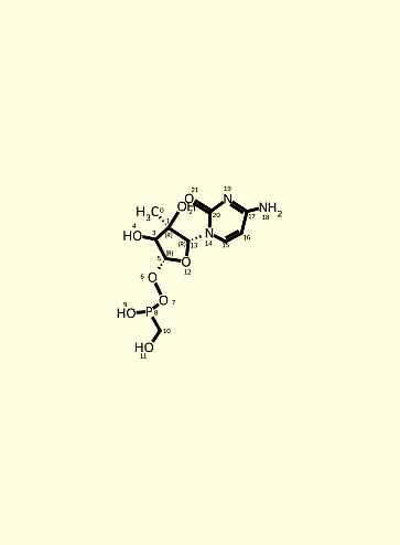 C[C@@]1(O)C(O)[C@@H](OOP(O)CO)O[C@H]1n1ccc(N)nc1=O